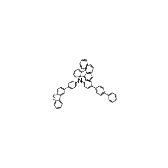 C1=CCC(c2ccccc2-c2ccccc2)(N(c2ccc(-c3ccc(-c4ccccc4)cc3)cc2)c2ccc(-c3ccc4sc5ccccc5c4c3)cc2)C(c2ccccc2)=C1